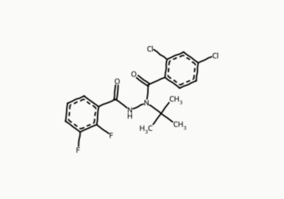 CC(C)(C)N(NC(=O)c1cccc(F)c1F)C(=O)c1ccc(Cl)cc1Cl